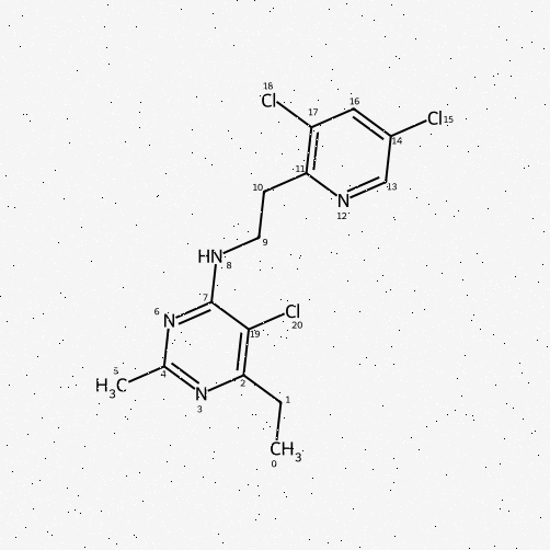 CCc1nc(C)nc(NCCc2ncc(Cl)cc2Cl)c1Cl